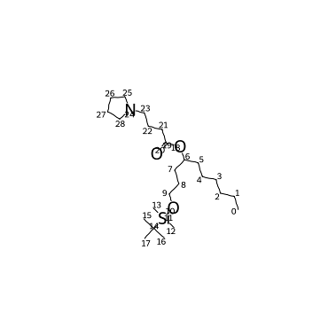 CCCCCCC(CCCO[Si](C)(C)C(C)(C)C)OC(=O)CCCN1CCCC1